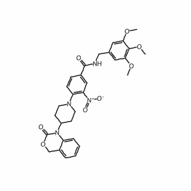 COc1cc(CNC(=O)c2ccc(N3CCC(N4C(=O)OCc5ccccc54)CC3)c([N+](=O)[O-])c2)cc(OC)c1OC